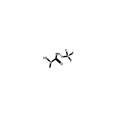 CN(S)C(N)=O.F[B-](F)(F)F